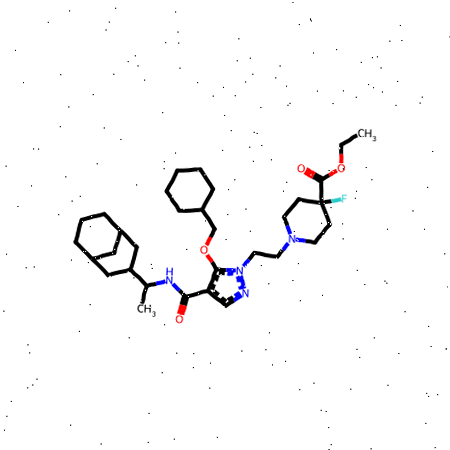 CCOC(=O)C1(F)CCN(CCn2ncc(C(=O)NC(C)C3CC4CCCC(C4)C3)c2OCC2CCCCC2)CC1